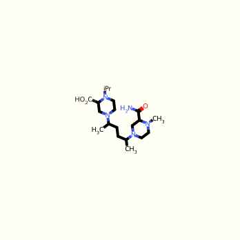 CC(CCC(C)N1CCN(C(C)C)C(C(=O)O)C1)N1CCN(C)C(C(N)=O)C1